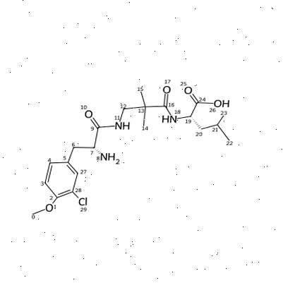 COc1ccc(C[C@@H](N)C(=O)NCC(C)(C)C(=O)N[C@@H](CC(C)C)C(=O)O)cc1Cl